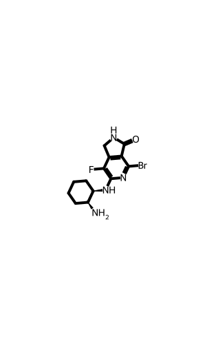 N[C@H]1CCCC[C@H]1Nc1nc(Br)c2c(c1F)CNC2=O